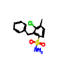 Cc1ccc(S(N)(=O)=O)c(Cc2ccccc2)c1Cl